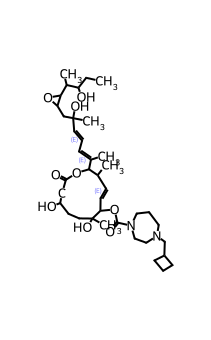 CCC(O)C(C)C1OC1CC(C)(O)/C=C/C=C(\C)C1OC(=O)CC(O)CCC(C)(O)C(OC(=O)N2CCCN(CC3CCC3)CC2)/C=C/C1C